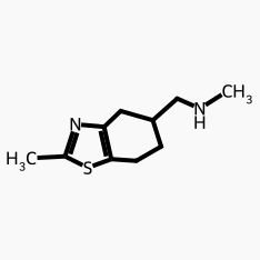 CNCC1CCc2sc(C)nc2C1